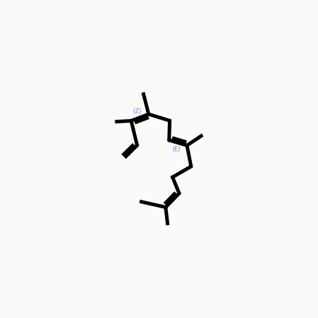 C=C/C(C)=C(/C)C/C=C(\C)CCC=C(C)C